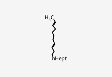 [CH2]CCCCCCCCC=CCCCCC=CC